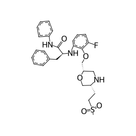 CS(=O)(=O)CC[C@@H]1CO[C@H](COc2c(F)cccc2N[C@@H](Cc2ccccc2)C(=O)Nc2ccccc2)CN1